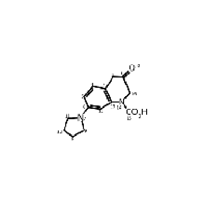 O=C1Cc2ccc(N3CCCC3)cc2N(C(=O)O)C1